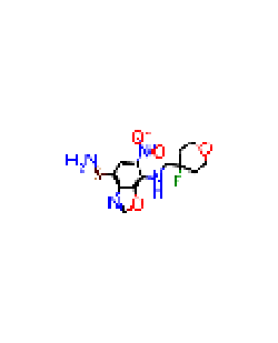 NSc1cc([N+](=O)[O-])c(NCC2(F)CCOCC2)c2ocnc12